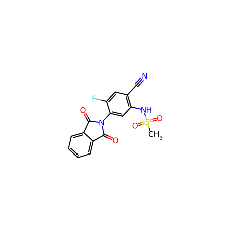 CS(=O)(=O)Nc1cc(N2C(=O)c3ccccc3C2=O)c(F)cc1C#N